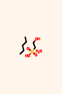 CCCCC.O.O=S(=O)(O)CCO